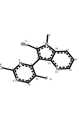 Cn1c(C(C)(C)C)c(-c2nc(Cl)ncc2F)c2ncccc21